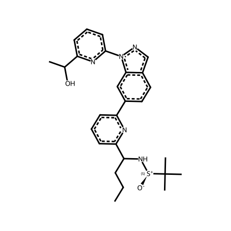 CCCC(N[S@+]([O-])C(C)(C)C)c1cccc(-c2ccc3cnn(-c4cccc(C(C)O)n4)c3c2)n1